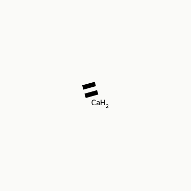 C=C.C=C.[CaH2]